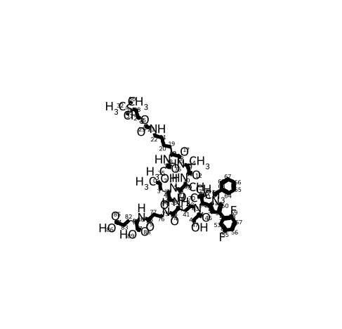 CC(=O)C[C@H](NC(=O)[C@H](C)NC(=O)[C@H](C)NC(=O)[C@H](CCCCNC(=O)OCCS(C)(C)C)NC(C)=O)C(=O)N[C@@H](CCN(C(=O)CO)[C@@H](c1cc(-c2cc(F)ccc2F)cn1Cc1ccccc1)C(C)(C)C)C(=O)NCCC(=O)N[C@@H](CCC(=O)O)C(=O)O